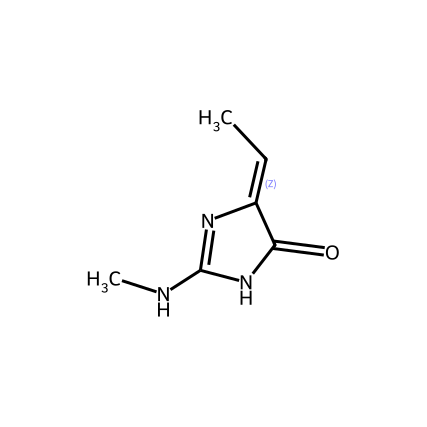 C/C=C1\N=C(NC)NC1=O